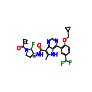 CCC(=O)N1CC[C@@H](NC(=O)c2c(C)[nH]c3c(-c4cc(C(F)F)ccc4OCC4CC4)ncnc23)C1F